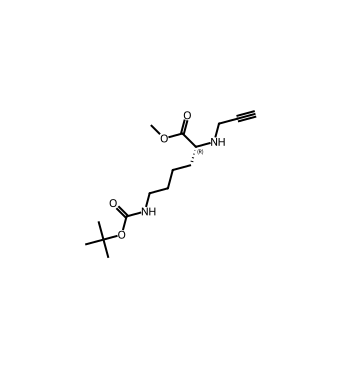 C#CCN[C@H](CCCCNC(=O)OC(C)(C)C)C(=O)OC